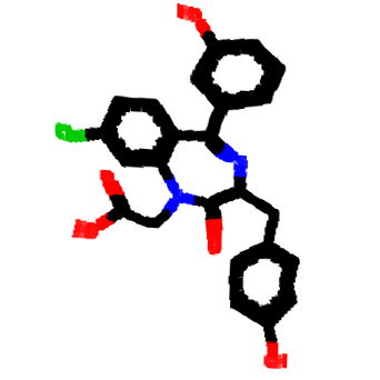 O=C(O)CN1C(=O)C(Cc2ccc(O)cc2)N=C(c2cccc(O)c2)c2ccc(Cl)cc21